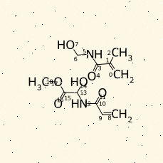 C=C(C)C(=O)NCO.C=CC(=O)NC(O)C(=O)OC